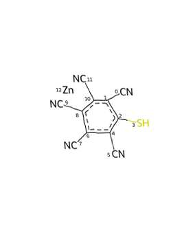 N#Cc1c(S)c(C#N)c(C#N)c(C#N)c1C#N.[Zn]